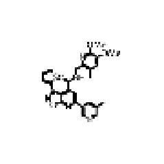 COc1cc(C)c(CNC(=O)c2cc(-c3cncc(C)c3)nc3onc(-c4cccs4)c23)nc1OC